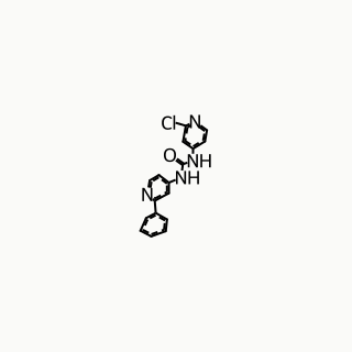 O=C(Nc1ccnc(Cl)c1)Nc1ccnc(-c2ccccc2)c1